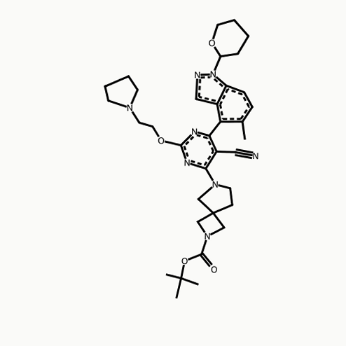 Cc1ccc2c(cnn2C2CCCCO2)c1-c1nc(OCCN2CCCC2)nc(N2CCC3(CN(C(=O)OC(C)(C)C)C3)C2)c1C#N